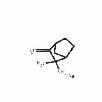 C=C1C2CCC(C2)C1(C)C.[Na]